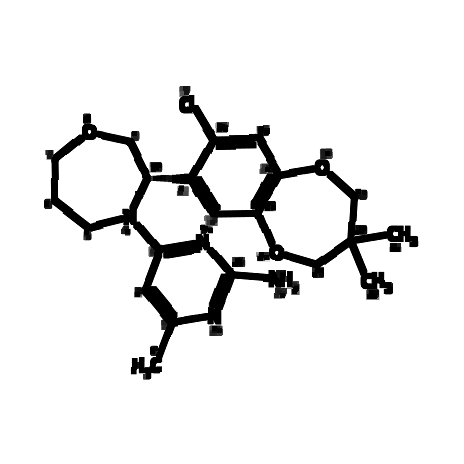 Cc1cc(N2CCCOC[C@@H]2c2cc3c(cc2Cl)OCC(C)(C)CO3)nc(N)n1